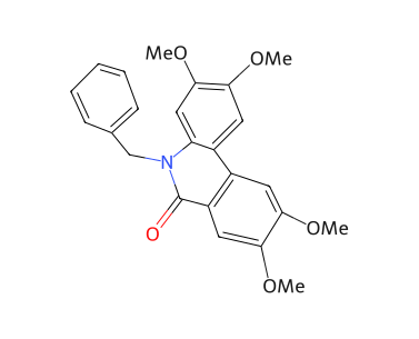 COc1cc2c(=O)n(Cc3ccccc3)c3cc(OC)c(OC)cc3c2cc1OC